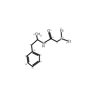 CCN(CC)CC(=O)NC(C)Cc1ccccc1